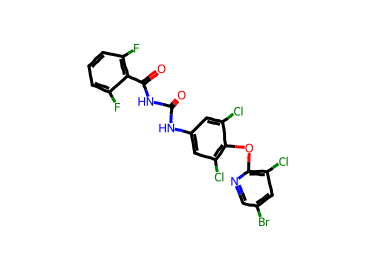 O=C(NC(=O)c1c(F)cccc1F)Nc1cc(Cl)c(Oc2ncc(Br)cc2Cl)c(Cl)c1